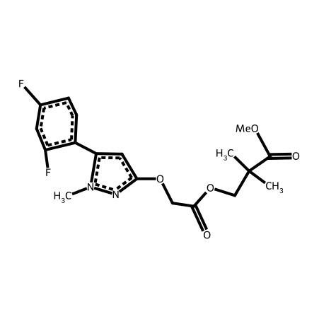 COC(=O)C(C)(C)COC(=O)COc1cc(-c2ccc(F)cc2F)n(C)n1